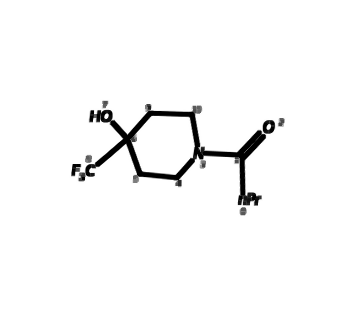 CCCC(=O)N1CCC(O)(C(F)(F)F)CC1